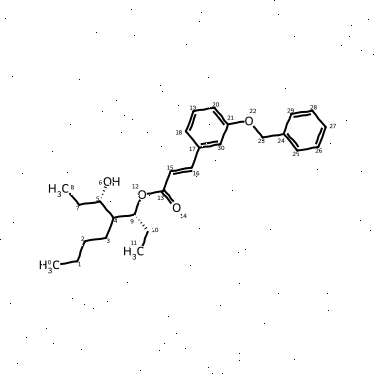 CCCCC([C@@H](O)CC)[C@@H](CC)OC(=O)C=Cc1cccc(OCc2ccccc2)c1